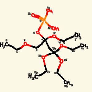 CCOCC(OCC)(OP(=O)(O)O)[Si](OCC)(OCC)OCC